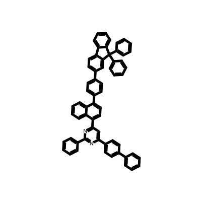 c1ccc(-c2ccc(-c3cc(-c4ccc(-c5ccc(-c6ccc7c(c6)C(c6ccccc6)(c6ccccc6)c6ccccc6-7)cc5)c5ccccc45)nc(-c4ccccc4)n3)cc2)cc1